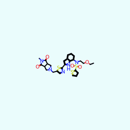 CCOCCN(c1cccc2cc(-c3ncc(CN4CC5C(=O)N(C)C(=O)C5C4)s3)[nH]c12)S(=O)(=O)c1cccs1